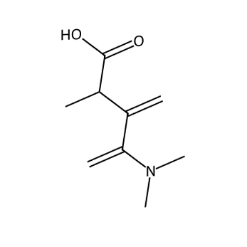 C=C(C(=C)N(C)C)C(C)C(=O)O